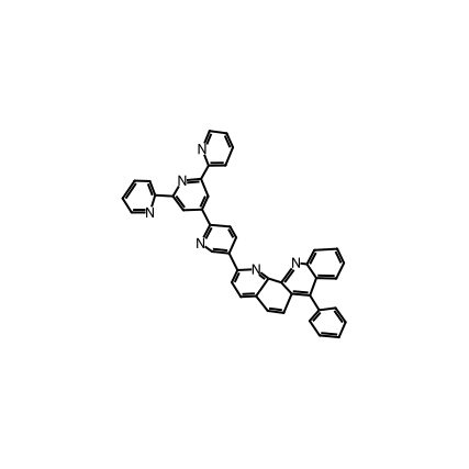 c1ccc(-c2c3ccccc3nc3c2ccc2ccc(-c4ccc(-c5cc(-c6ccccn6)nc(-c6ccccn6)c5)nc4)nc23)cc1